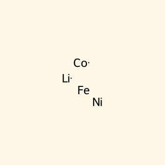 [Co].[Fe].[Li].[Ni]